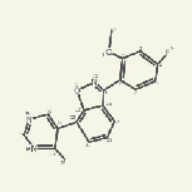 COc1cc(F)ccc1-c1noc2c(-c3cncnc3C)cccc12